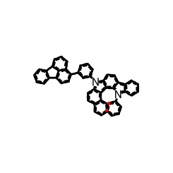 c1ccc(-n2c3ccccc3c3ccc4c(c5c6ccccc6ccc5n4-c4cccc(-c5ccc6c7c(cccc57)-c5ccccc5-6)c4)c32)cc1